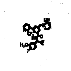 Cc1cc(C(NC(=O)c2cc(CN3CCCSC3=N)cc(-c3cccnc3C(F)(F)F)c2)C2CC2)ccc1F